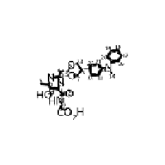 Cc1nc(C[C@H]2OC[C@H](c3ccc(N(C)c4ccccc4)cc3)CO2)nc(C(=O)NCC(=O)O)c1O